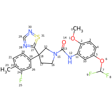 COc1ccc(OC(F)F)cc1NC(=O)N1CCC(c2ccc(C)c(F)c2)(c2ncns2)C1